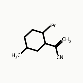 C=C(C#N)C1CC(C)CCC1C(C)C